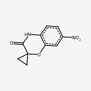 O=C1Nc2ccc([N+](=O)[O-])cc2OC12CC2